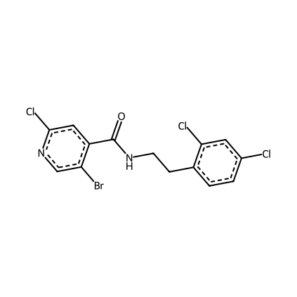 O=C(NCCc1ccc(Cl)cc1Cl)c1cc(Cl)ncc1Br